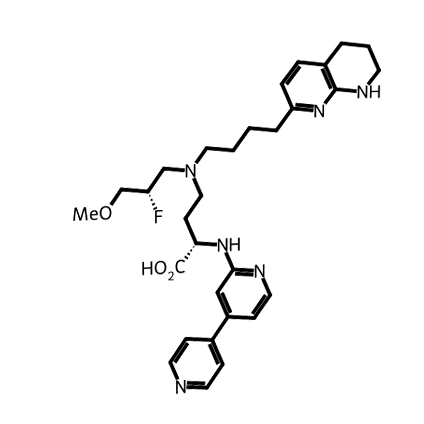 COC[C@@H](F)CN(CCCCc1ccc2c(n1)NCCC2)CC[C@H](Nc1cc(-c2ccncc2)ccn1)C(=O)O